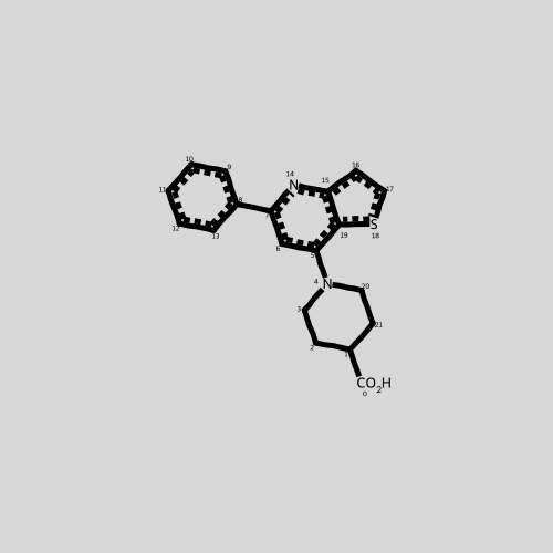 O=C(O)C1CCN(c2cc(-c3ccccc3)nc3ccsc23)CC1